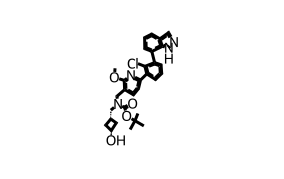 COc1nc(-c2cccc(-c3cccc4cn[nH]c34)c2Cl)ccc1CN(C[C@H]1C[C@@H](O)C1)C(=O)OC(C)(C)C